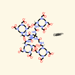 C[C@H](C(=O)NCC(=O)NCC(CNC(=O)CNC(=O)[C@H](C)N1CCN(CC(=O)[O-])CCN(CC(=O)[O-])CCN(CC(=O)[O-])CC1)(CNC(=O)CNC(=O)[C@H](C)N1CCN(CC(=O)[O-])CCN(CC(=O)[O-])CCN(CC(=O)[O-])CC1)CNC(=O)CNC(=O)[C@H](C)N1CCN(CC(=O)[O-])CCN(CC(=O)[O-])CCN(CC(=O)[O-])CC1)N1CCN(CC(=O)[O-])CCN(CC(=O)[O-])CCN(CC(=O)[O-])CC1.[Gd+3].[Gd+3].[Gd+3].[Gd+3]